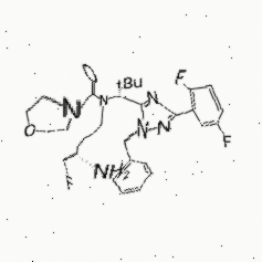 CC(C)(C)[C@H](c1nc(-c2cc(F)ccc2F)nn1Cc1ccccc1)N(CC[C@H](N)CF)C(=O)N1CCOCC1